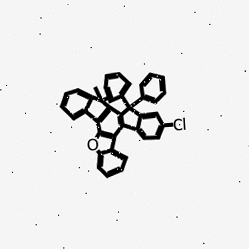 CC1(C)c2ccccc2-c2c1c1c(c3c2oc2ccccc23)-c2ccc(Cl)cc2C1(c1ccccc1)c1ccccc1